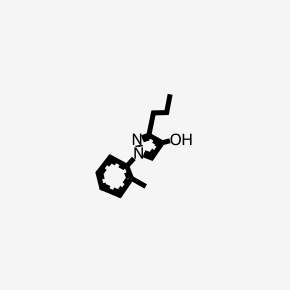 CCCc1nn(-c2ccccc2C)cc1O